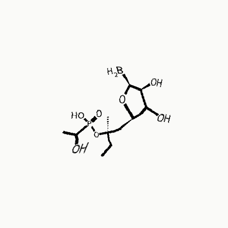 B[C@@H]1O[C@H](C[C@@](C)(CC)OP(=O)(O)C(C)O)C(O)[C@@H]1O